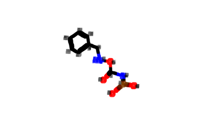 O=C(N=S(=O)=O)ONCc1ccccc1